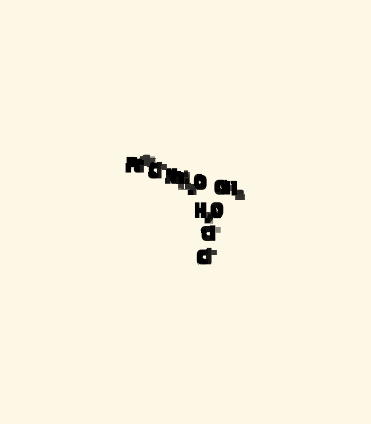 O.O.O.[Cl-].[Cl-].[Cl-].[Na+].[Pd+2]